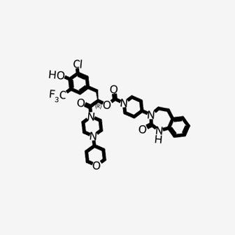 O=C(O[C@H](Cc1cc(Cl)c(O)c(C(F)(F)F)c1)C(=O)N1CCN(C2CCOCC2)CC1)N1CCC(N2CCc3ccccc3NC2=O)CC1